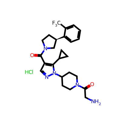 Cl.NCC(=O)N1CCC(n2ncc(C(=O)N3CC[C@@H](c4ccccc4C(F)(F)F)C3)c2C2CC2)CC1